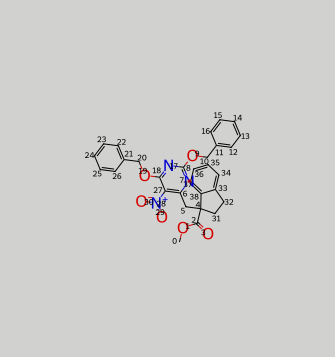 COC(=O)C1(Cc2nc(OCc3ccccc3)nc(OCc3ccccc3)c2[N+](=O)[O-])CCc2ccccc21